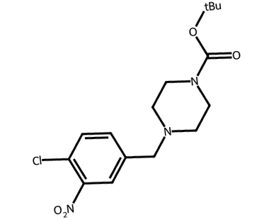 CC(C)(C)OC(=O)N1CCN(Cc2ccc(Cl)c([N+](=O)[O-])c2)CC1